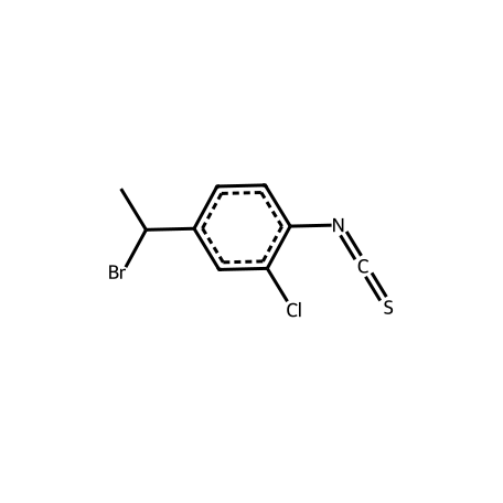 CC(Br)c1ccc(N=C=S)c(Cl)c1